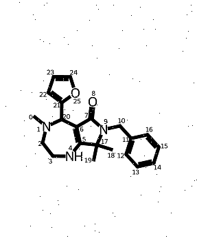 CN1CCNC2=C(C(=O)N(Cc3ccccc3)C2(C)C)C1c1ccco1